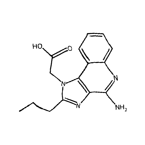 CCCc1nc2c(N)nc3ccccc3c2n1CC(=O)O